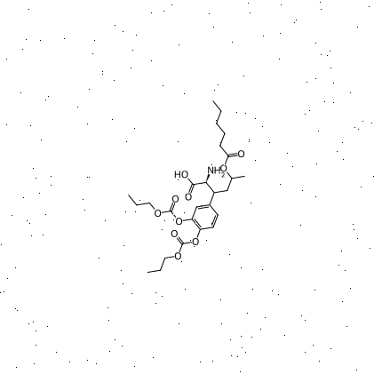 CCCCCC(=O)OC(C)CC(c1ccc(OC(=O)OCCC)c(OC(=O)OCCC)c1)[C@H](N)C(=O)O